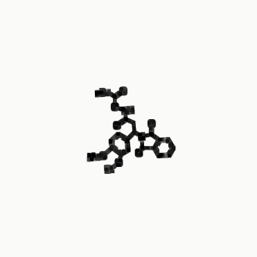 CCCCC(=O)ONC(=O)CC(c1ccc(OC)c(OCC)c1)N1C(=O)c2ccccc2C1=O